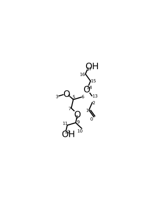 C=CC.COC(C)COC(C)CO.COCCO